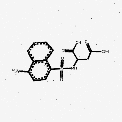 Nc1ccc(S(=O)(=O)NC(CC(=O)O)C(=O)O)c2ccccc12